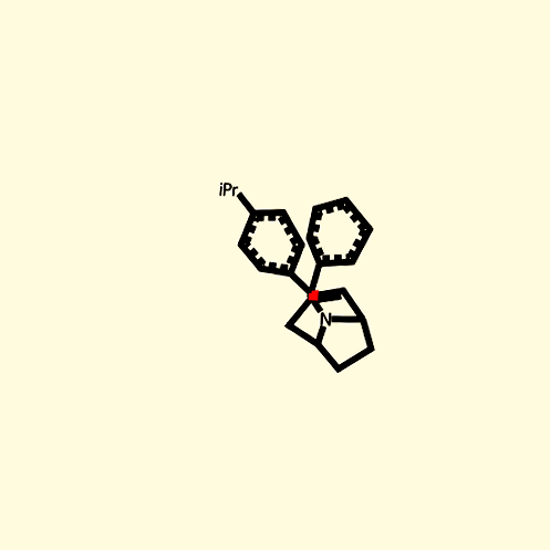 CC(C)c1ccc(C2=CC3CCC(C2)N3Cc2ccccc2)cc1